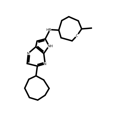 CC1CCCC(Bc2cc3ncc(C4CCCCCCC4)nc3[nH]2)CCC1